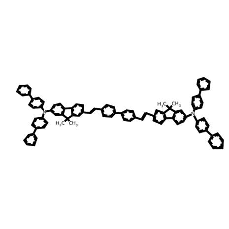 CC1(C)c2cc(/C=C/c3ccc(-c4ccc(/C=C/c5ccc6c(c5)C(C)(C)c5cc(N(c7ccc(-c8ccccc8)cc7)c7ccc(-c8ccccc8)cc7)ccc5-6)cc4)cc3)ccc2-c2ccc(N(c3ccc(-c4ccccc4)cc3)c3ccc(-c4ccccc4)cc3)cc21